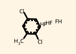 Cc1cc(Cl)ccc1Cl.F.F.F